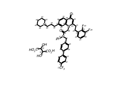 CC(C)N(Cc1ccc(-c2ccc(C(F)(F)F)cc2)cc1)C(=O)Cn1c(CCc2cccc(F)c2F)cc(=O)c2ccc(CCCN3CCCCC3)cc21.O=C(O)C(O)C(O)C(=O)O